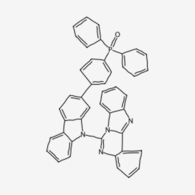 O=P(c1ccccc1)(c1ccccc1)c1ccc(-c2ccc3c4ccccc4n(-c4nc5ccccc5c5nc6ccccc6n45)c3c2)cc1